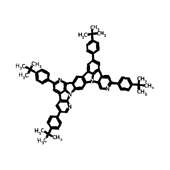 CC(C)(C)c1ccc(-c2cnc3c(c2)c2cc(-c4ccc(C(C)(C)C)cc4)nc4c5cc6c7cc(-c8ccc(C(C)(C)C)cc8)cc8c9cc(-c%10ccc(C(C)(C)C)cc%10)ncc9n(c6cc5n3c24)c87)cc1